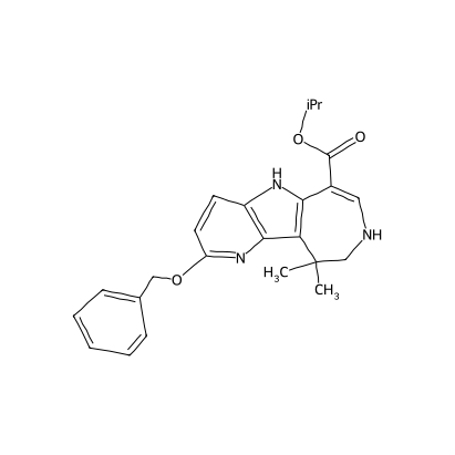 CC(C)OC(=O)C1=CNCC(C)(C)c2c1[nH]c1ccc(OCc3ccccc3)nc21